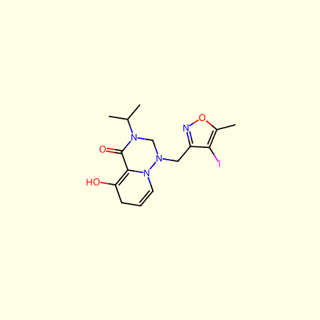 Cc1onc(CN2CN(C(C)C)C(=O)C3=C(O)CC=CN32)c1I